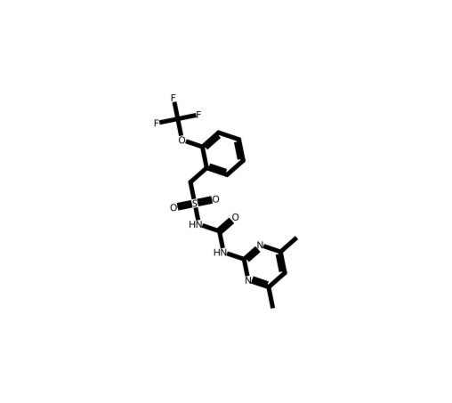 Cc1cc(C)nc(NC(=O)NS(=O)(=O)Cc2ccccc2OC(F)(F)F)n1